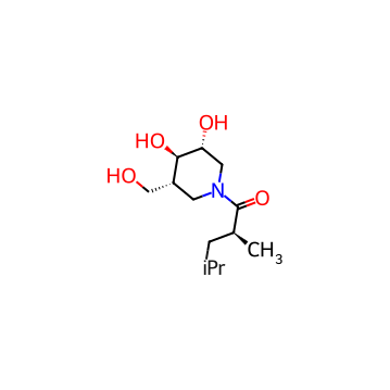 CC(C)C[C@H](C)C(=O)N1C[C@H](CO)[C@@H](O)[C@H](O)C1